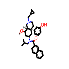 COC1C[C@@H](N(CC(C)C)C(=O)c2ccc3ccccc3c2)C[C@]2(c3cccc(O)c3)CCN(CC3CC3)C[C@@H]12